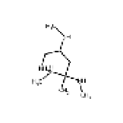 CNC(CN)CC(C)(NC)NC